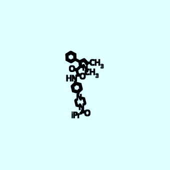 Cc1cc(-c2ccccc2)c(C(=O)C(=O)Nc2ccc(N3CCN(C(=O)C(C)C)CC3)cc2)n1C